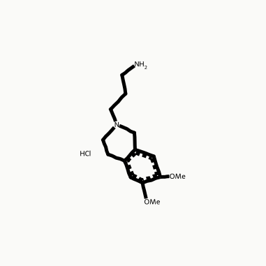 COc1cc2c(cc1OC)CN(CCCN)CC2.Cl